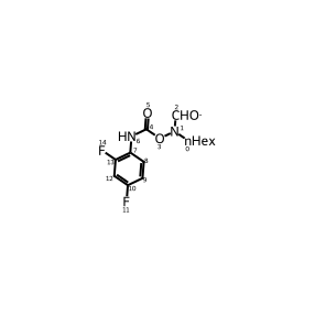 CCCCCCN([C]=O)OC(=O)Nc1ccc(F)cc1F